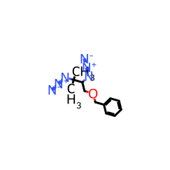 CC(C)(N=[N+]=[N-])C(COCc1ccccc1)N=[N+]=[N-]